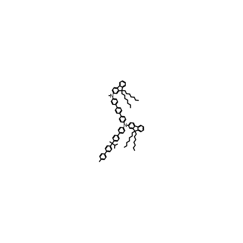 CCCCCCCC1(CCCCCCC)c2ccccc2-c2ccc(N(C)c3ccc(-c4ccc(-c5ccc(N(c6ccc(-c7ccc(C(C)(c8ccc(-c9ccc(C)cc9)cc8)C(C)C)cc7)cc6)c6ccc7c(c6)C(CCCCCCC)(CCCCCCC)c6ccccc6-7)cc5)cc4)cc3)cc21